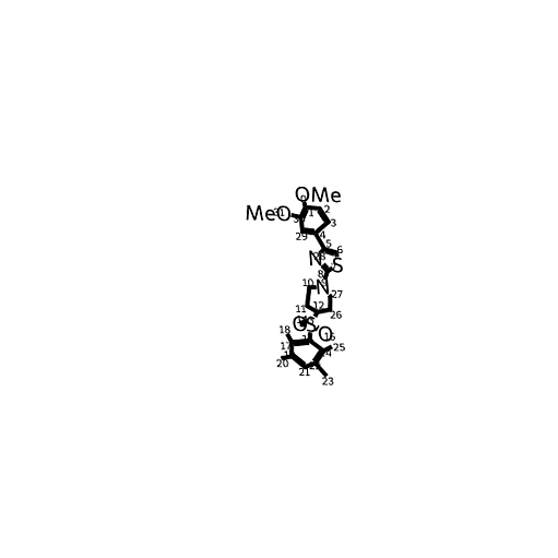 COc1ccc(-c2csc(N3CCC(S(=O)(=O)c4c(C)c(C)cc(C)c4C)CC3)n2)cc1OC